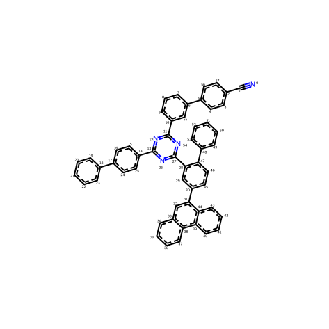 N#Cc1ccc(-c2cccc(-c3nc(-c4ccc(-c5ccccc5)cc4)nc(-c4cc(-c5cc6ccccc6c6ccccc56)ccc4-c4ccccc4)n3)c2)cc1